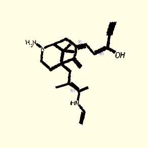 C#C/C(O)=C\C=C1\CC2N(N)CCC(C/C(C)=C(\C)NC=C)(C1=C)C2(C)C